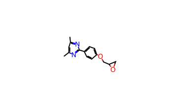 Cc1cc(C)nc(-c2ccc(OCC3CO3)cc2)n1